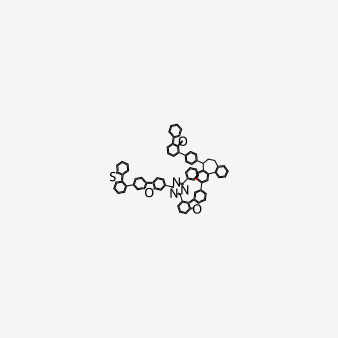 c1ccc(-c2nc(-c3ccc4c(c3)oc3cc(-c5cccc6sc7ccccc7c56)ccc34)nc(-c3cccc4oc5ccc(-c6ccc7c(c6)-c6ccccc6CCC7c6ccc(-c7cccc8c7oc7ccccc78)cc6)cc5c34)n2)cc1